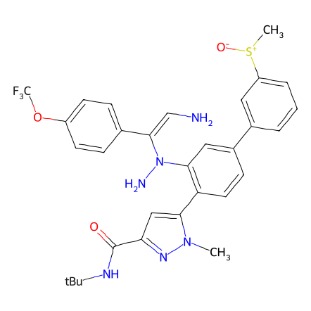 Cn1nc(C(=O)NC(C)(C)C)cc1-c1ccc(-c2cccc([S+](C)[O-])c2)cc1N(N)/C(=C\N)c1ccc(OC(F)(F)F)cc1